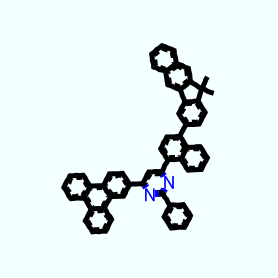 CC1(C)c2ccc(-c3ccc(-c4cc(-c5ccc6c7ccccc7c7ccccc7c6c5)nc(-c5ccccc5)n4)c4ccccc34)cc2-c2cc3ccccc3cc21